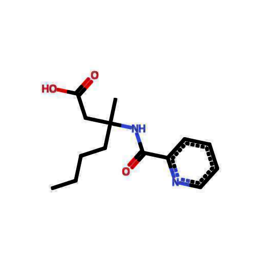 CCCCC(C)(CC(=O)O)NC(=O)c1ccccn1